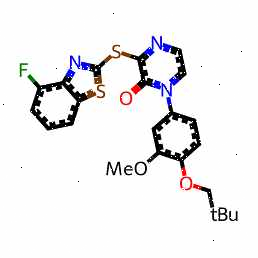 COc1cc(-n2ccnc(Sc3nc4c(F)cccc4s3)c2=O)ccc1OCC(C)(C)C